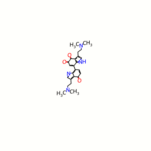 CN(C)CCC1=C2C(=O)C=CC(C3=CC(=O)C(=O)c4c(CCN(C)C)c[nH]c43)=C2N=C1